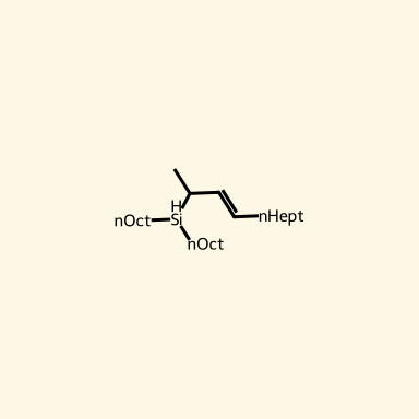 CCCCCCCC=CC(C)[SiH](CCCCCCCC)CCCCCCCC